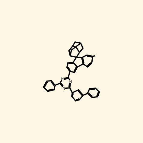 Cc1ccc2c(c1)C1(c3ccc(-c4nc(-c5ccccc5)nc(-c5cccc(-c6ccccc6)c5)n4)cc3-2)C2CC3CC(C2)CC1C3